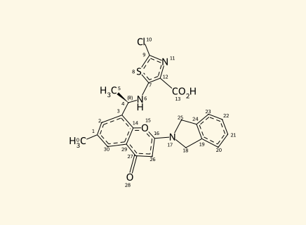 Cc1cc([C@@H](C)Nc2sc(Cl)nc2C(=O)O)c2oc(N3Cc4ccccc4C3)cc(=O)c2c1